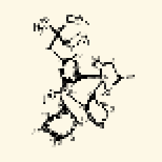 CC(C)(C)Cc1cc2c(s1)C1(OCCO1)c1sccc1[PH]2(O)c1ccccc1